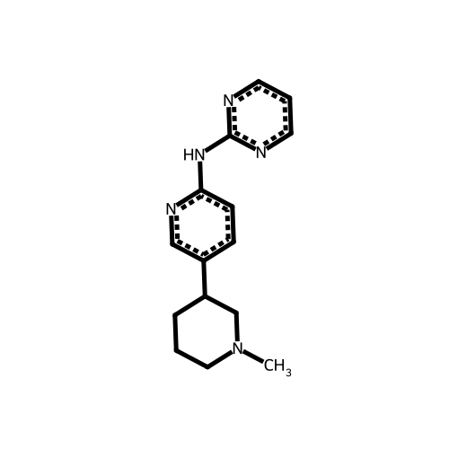 CN1CCCC(c2ccc(Nc3ncccn3)nc2)C1